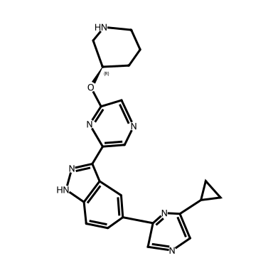 c1cc2[nH]nc(-c3cncc(O[C@@H]4CCCNC4)n3)c2cc1-c1cncc(C2CC2)n1